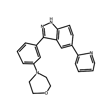 c1ccc(-c2ccc3[nH]nc(-c4cccc(N5CCOCC5)c4)c3c2)nc1